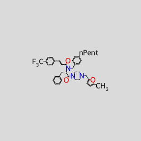 CCCCCc1ccc(CN(C(=O)/C=C/c2ccc(C(F)(F)F)cc2)[C@@H](Cc2ccccc2)C(=O)N2CCN(Cc3ccc(C)o3)CC2)cc1